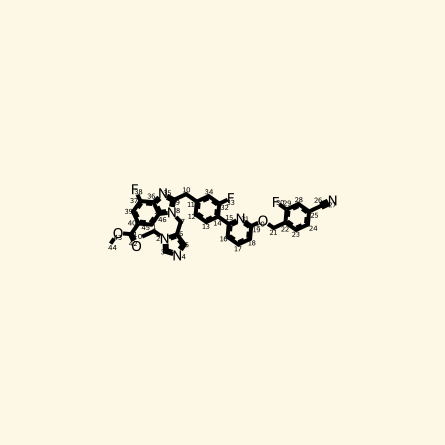 CCn1cncc1Cn1c(Cc2ccc(-c3cccc(OCc4ccc(C#N)cc4F)n3)c(F)c2)nc2c(F)cc(C(=O)OC)cc21